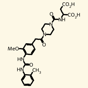 COc1cc(CC(=O)N2CCN(C(=O)NC(CC(=O)O)C(=O)O)CC2)ccc1NC(=O)Nc1ccccc1C